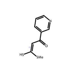 CS/C(S)=C\C(=O)c1cccnc1